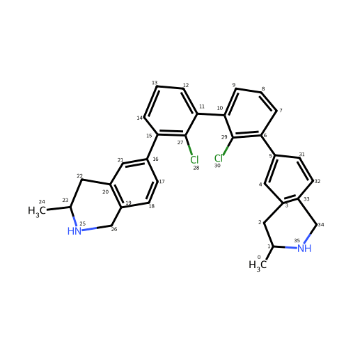 CC1Cc2cc(-c3cccc(-c4cccc(-c5ccc6c(c5)CC(C)NC6)c4Cl)c3Cl)ccc2CN1